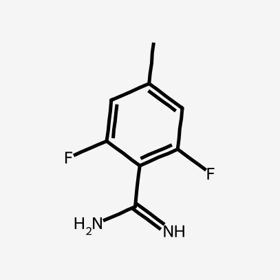 Cc1cc(F)c(C(=N)N)c(F)c1